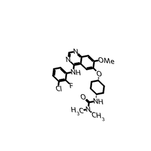 COc1cc2ncnc(Nc3cccc(Cl)c3F)c2cc1O[C@H]1CC[C@@H](NC(=O)N(C)C)CC1